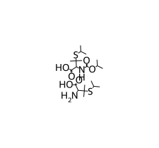 CC(C)OC(=O)NC(C(=O)O)C(C)(C)SC(C)C.CC(C)SC(C)(C)C(N)C(=O)O